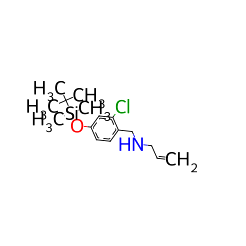 C=CCNCc1ccc(O[Si](C)(C)C(C)(C)C)cc1Cl